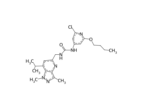 CCCCOc1cc(NC(=O)NCc2cc(C(C)C)c3c(n2)c(C)nn3C)cc(Cl)n1